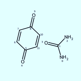 NC(N)=O.O=C1C=CC(=O)C=C1